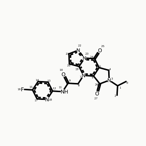 CC(C)N1Cc2c(n(CC(=O)Nc3ccc(F)cn3)c3ccnn3c2=O)C1=O